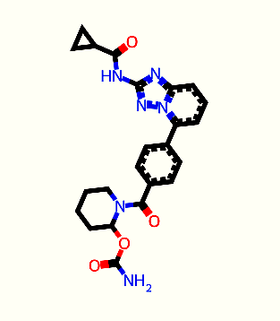 NC(=O)OC1CCCCN1C(=O)c1ccc(-c2cccc3nc(NC(=O)C4CC4)nn23)cc1